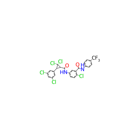 O=C(Nc1ccc(C(F)(F)F)cc1)c1cc(NC(=O)C2C(c3cc(Cl)cc(Cl)c3)C2(Cl)Cl)ccc1Cl